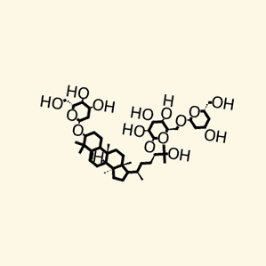 C[C@H](CC[C@@H](O[C@@H]1O[C@H](CO[C@H]2C[C@@H](O)C[C@@H](CO)O2)[C@@H](O)[C@H](O)[C@H]1O)C(C)(C)O)C1CC[C@@]2(C)[C@@H]3CC=C4C(CC[C@H](O[C@H]5C[C@@H](O)[C@H](O)[C@@H](CO)O5)C4(C)C)[C@]3(C)CC[C@]12C